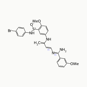 C=C(/C=C/N=C(\N)c1cccc(OC)c1)Nc1ccc(OC)c([S+]([O-])Nc2ccc(Br)cc2)c1